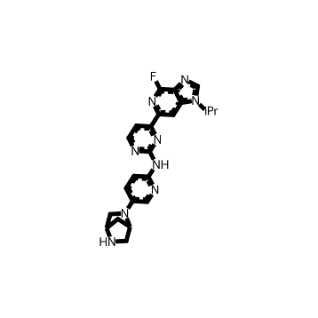 CC(C)n1cnc2c(F)nc(-c3ccnc(Nc4ccc(N5CC6CC5CN6)cn4)n3)cc21